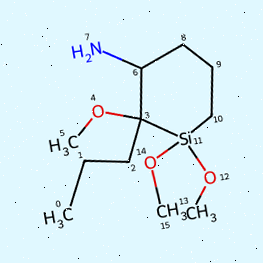 CCCC1(OC)C(N)CCC[Si]1(OC)OC